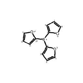 c1coc(B(c2ccco2)c2ccco2)c1